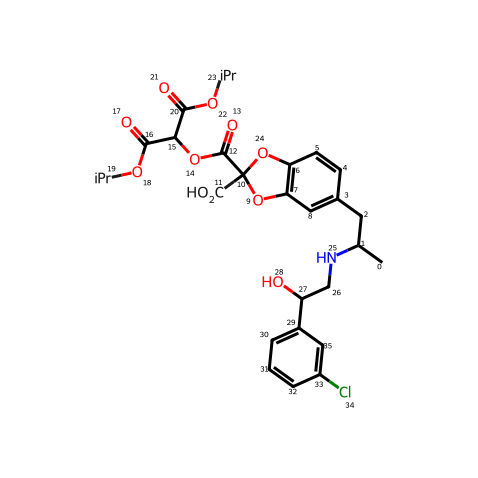 CC(Cc1ccc2c(c1)OC(C(=O)O)(C(=O)OC(C(=O)OC(C)C)C(=O)OC(C)C)O2)NCC(O)c1cccc(Cl)c1